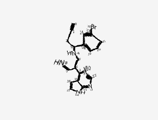 C#CCC(N/C=C(\C=N)c1ncnc2[nH]ccc12)c1cccc(Br)c1